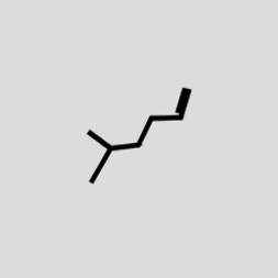 C=CC[CH]C(C)C